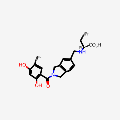 CC(C)C[C@H](NCc1ccc2c(c1)CN(C(=O)c1cc(C(C)C)c(O)cc1O)C2)C(=O)O